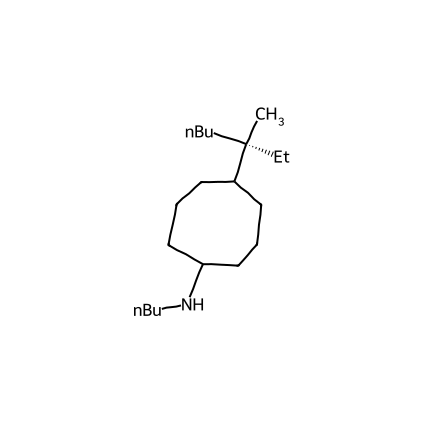 CCCCNC1CCCC([C@@](C)(CC)CCCC)CCC1